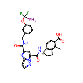 Cc1c(C(=O)O)ccc2c1CC[C@@H]2NC(=O)c1cc(C(=O)NCc2cccc(OC(F)(F)P)c2)nc2ccnn12